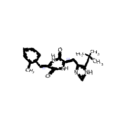 Cc1ccccc1/C=c1\[nH]c(=O)/c(=C/c2nc[nH]c2C(C)(C)C)[nH]c1=O